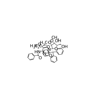 COCCO[C@]1(OC)[C@@](O)(OC)[C@@H](CO)O[C@]1(n1cc(C)c(NC(=O)c2ccccc2)nc1=O)C(c1ccccc1)(c1ccccc1)c1ccccc1